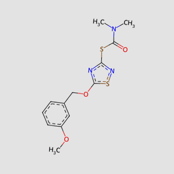 COc1cccc(COc2nc(SC(=O)N(C)C)ns2)c1